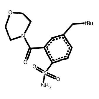 CC(C)(C)Cc1ccc(S(N)(=O)=O)c(C(=O)N2CCOCC2)c1